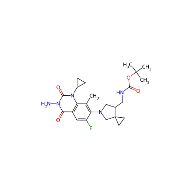 Cc1c(N2CC(CNC(=O)OC(C)(C)C)C3(CC3)C2)c(F)cc2c(=O)n(N)c(=O)n(C3CC3)c12